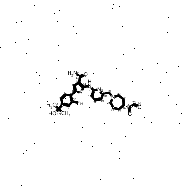 CC(C)(O)c1ccc(-c2cc(C(N)=O)c(Nc3cccc(CN4CCC[C@@H](C(=O)C=O)CC4)n3)s2)c(F)c1